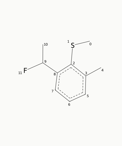 CSc1c(C)cccc1C(C)F